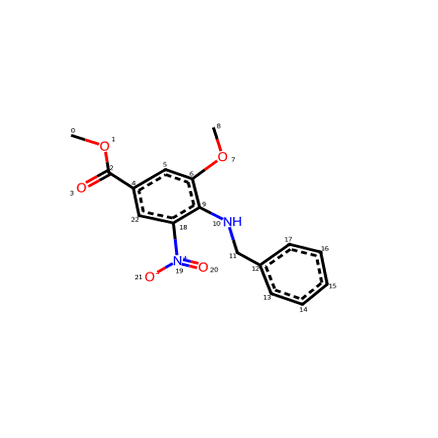 COC(=O)c1cc(OC)c(NCc2ccccc2)c([N+](=O)[O-])c1